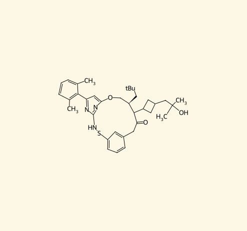 Cc1cccc(C)c1-c1cc2nc(n1)NSc1cccc(c1)CC(=O)C(C1CC(CC(C)(C)O)C1)[C@H](CC(C)(C)C)CO2